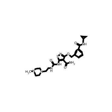 CN1CCN(CCNC(=O)Nc2snc(OCc3cccc(C(=O)NC4CC4)c3)c2C(N)=O)CC1